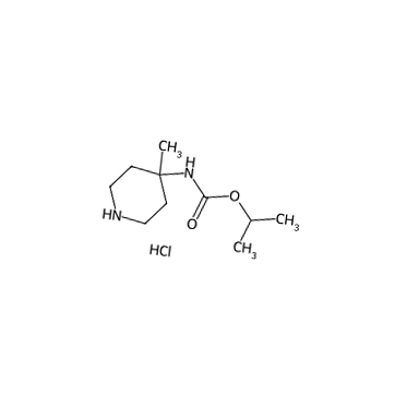 CC(C)OC(=O)NC1(C)CCNCC1.Cl